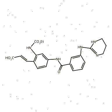 CCOC(=O)Nc1cc(NC(=O)c2cccc(NC3=NCCCN3)c2)ccc1/C=C/C(=O)O